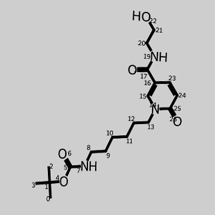 CC(C)(C)OC(=O)NCCCCCCn1cc(C(=O)NCCO)ccc1=O